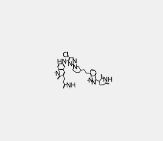 C=C(CCC1=Cc2cc(Nc3nc(N4CCCC(CCc5cccc6c(C7CCC(=C)NC7=C)nn(C)c56)C4)ncc3Cl)ccc2N(C)C1=C)NC